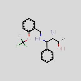 C[C@@H](O)[C@@H](N)C(NCc1ccccc1OC(F)(F)F)c1ccccc1